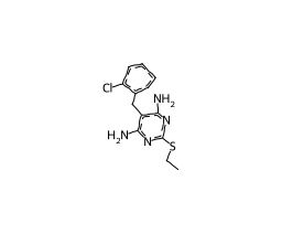 CCSc1nc(N)c(Cc2ccccc2Cl)c(N)n1